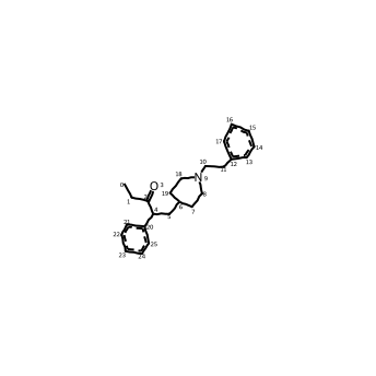 CCC(=O)C(CC1CCN(CCc2ccccc2)CC1)c1ccccc1